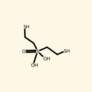 O=S(O)(O)(CCS)CCS